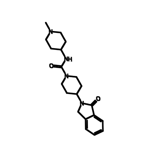 CN1CCC(NC(=O)N2CCC(N3Cc4ccccc4C3=O)CC2)CC1